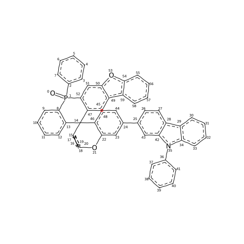 O=P1(c2ccccc2)c2ccccc2C2(c3ccccc3Oc3cc(-c4ccc5c6ccccc6n(-c6ccccc6)c5c4)ccc32)c2cc3c(cc21)oc1ccccc13